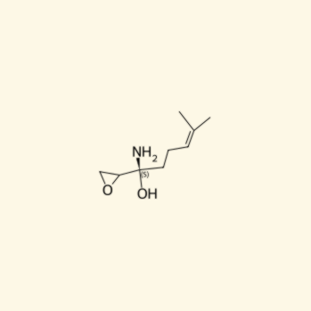 CC(C)=CCC[C@](N)(O)C1CO1